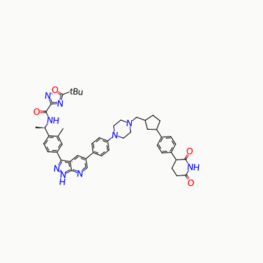 Cc1cc(-c2n[nH]c3ncc(-c4ccc(N5CCN(CC6CCC(c7ccc(C8CCC(=O)NC8=O)cc7)C6)CC5)cc4)cc23)ccc1[C@@H](C)NC(=O)c1noc(C(C)(C)C)n1